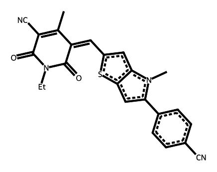 CCN1C(=O)C(C#N)=C(C)/C(=C/c2cc3c(cc(-c4ccc(C#N)cc4)n3C)s2)C1=O